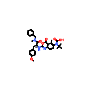 COc1ccc(C[C@H](Nc2nc3ccc(N(C(=O)O)C(C)(C)C)c(C)c3c(=O)o2)C(=O)N(C)Cc2ccccc2)cc1